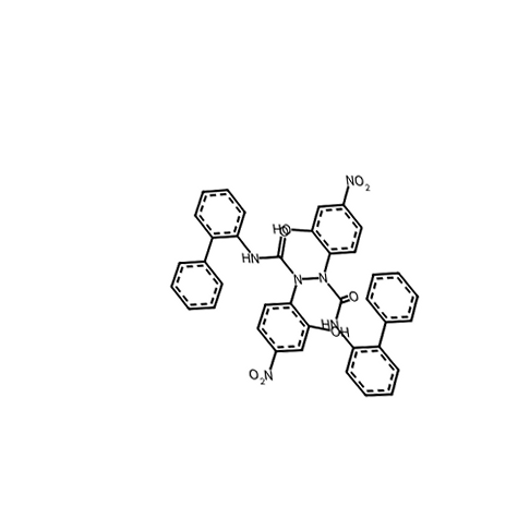 O=C(Nc1ccccc1-c1ccccc1)N(c1ccc([N+](=O)[O-])cc1O)N(C(=O)Nc1ccccc1-c1ccccc1)c1ccc([N+](=O)[O-])cc1O